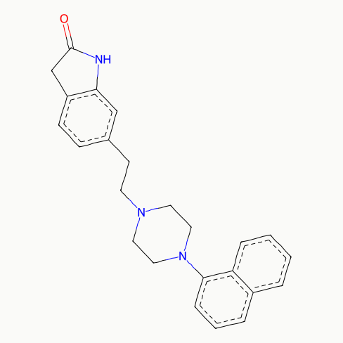 O=C1Cc2ccc(CCN3CCN(c4cccc5ccccc45)CC3)cc2N1